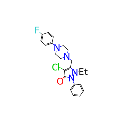 CCn1c(CN2CCN(c3ccc(F)cc3)CC2)c(Cl)c(=O)n1-c1ccccc1